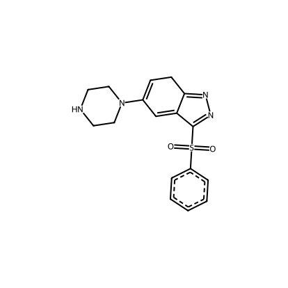 O=S(=O)(C1=NN=C2CC=C(N3CCNCC3)C=C21)c1ccccc1